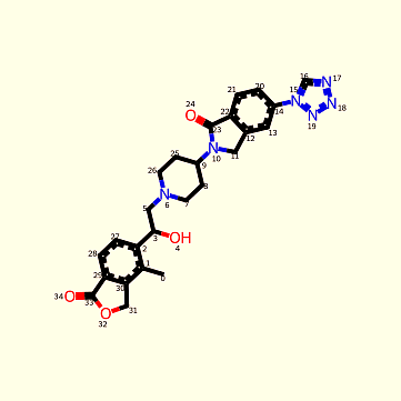 Cc1c(C(O)CN2CCC(N3Cc4cc(-n5cnnn5)ccc4C3=O)CC2)ccc2c1COC2=O